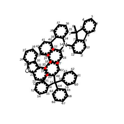 CC1(C)c2ccccc2-c2cccc(N(c3ccc(-c4cccc5oc6ccccc6c45)cc3)c3ccccc3-c3cccc(-c4ccc5c(c4)-c4ccccc4C5(c4ccccc4)c4ccccc4)c3)c21